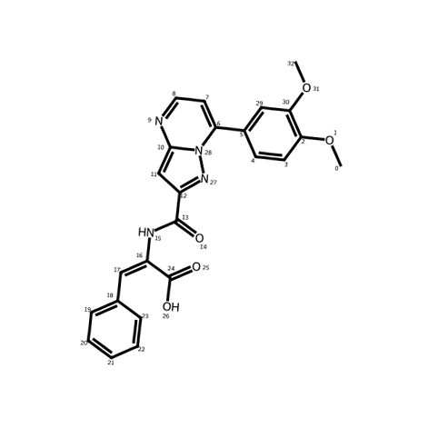 COc1ccc(-c2ccnc3cc(C(=O)NC(=Cc4ccccc4)C(=O)O)nn23)cc1OC